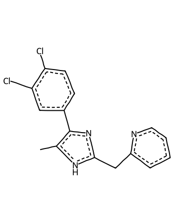 Cc1[nH]c(Cc2ccccn2)nc1-c1ccc(Cl)c(Cl)c1